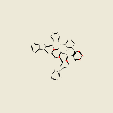 c1ccc(-c2ccccc2-c2c(-c3ccccc3)cccc2N(c2cccc(-c3cccc4c3sc3ccccc34)c2)c2ccccc2-c2cccc3c2oc2ccccc23)cc1